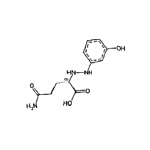 NC(=O)CC[C@H](NNc1cccc(O)c1)C(=O)O